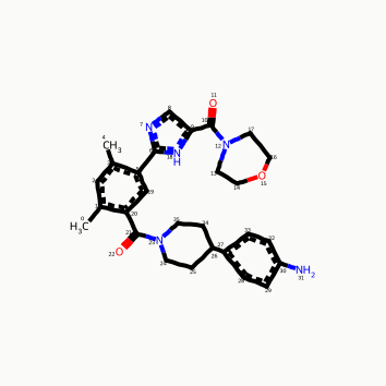 Cc1cc(C)c(-c2ncc(C(=O)N3CCOCC3)[nH]2)cc1C(=O)N1CCC(c2ccc(N)cc2)CC1